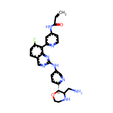 C=CC(=O)Nc1ccnc(-c2c(F)ccc3cnc(Nc4ccc([C@H]5OCCNC5CN)nc4)nc23)c1